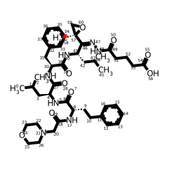 CC(C)C[C@H](NC(=O)[C@H](CCc1ccccc1)NC(=O)CN1CCOCC1)C(=O)N[C@@H](Cc1ccccc1)C(=O)N[C@@H](CC(C)C)/C(=N\NC(=O)CCCC(=O)O)[C@@]1(C)CO1